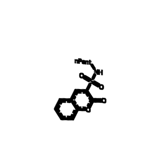 CCCCCNS(=O)(=O)c1cc2ccccc2oc1=O